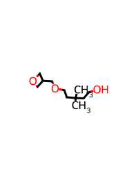 CC(C)(CCO)CCOCC1COC1